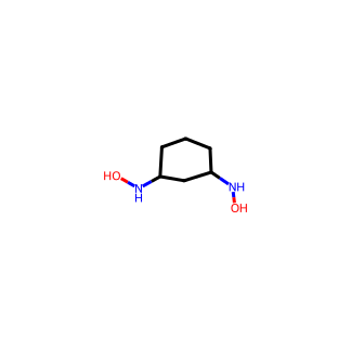 ONC1CCCC(NO)C1